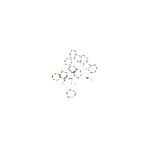 N#Cc1cc(C2=NC(c3ccccc3)=NC(c3ccccc3)N2)c(N2c3ccccc3Sc3ccccc32)cc1-n1c2ccccc2c2ccc3c4ccccc4n(-c4ccccc4)c3c21